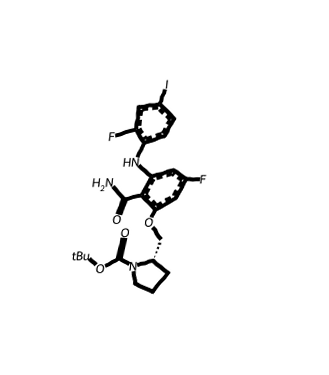 CC(C)(C)OC(=O)N1CCC[C@H]1COc1cc(F)cc(Nc2ccc(I)cc2F)c1C(N)=O